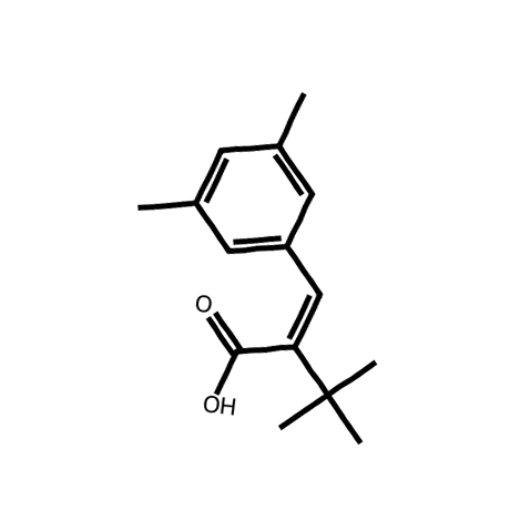 Cc1cc(C)cc(C=C(C(=O)O)C(C)(C)C)c1